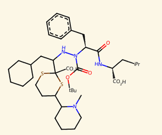 CC(C)C[C@H](NC(=O)[C@H](Cc1ccccc1)N(NC(CC1CCCCC1)C1(C(=O)O)SCCC(C2CCCCN2C)S1)C(=O)OC(C)(C)C)C(=O)O